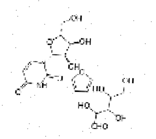 O=CC(O)C(O)C(O)CO.O=c1ccn([C@@H]2O[C@H](CO)[C@@H](O)[C@H]2O)c(=O)[nH]1.c1ccoc1